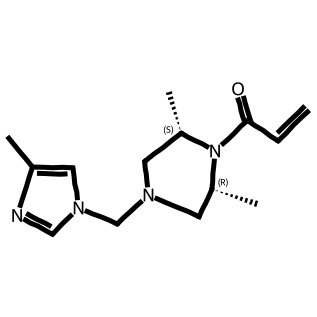 C=CC(=O)N1[C@H](C)CN(Cn2cnc(C)c2)C[C@@H]1C